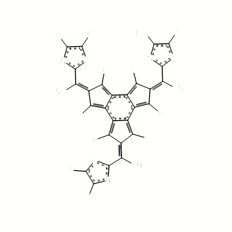 N#CC(=C1C(F)=c2c3c(c4c(c2=C1F)=C(F)C(=C(C#N)c1nc(C(F)(F)F)c(F)s1)C=4F)=C(F)C(=C(C#N)c1nc(C(F)(F)F)c(F)s1)C=3F)c1nc(C(F)(F)F)c(F)s1